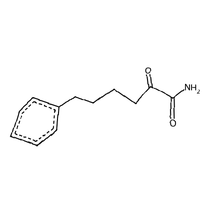 NC(=O)C(=O)CCCCc1ccccc1